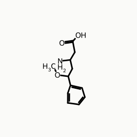 COC(CC(N)CC(=O)O)c1ccccc1